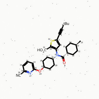 CC(C)(C)C#Cc1cc(N(C(=O)[C@H]2CC[C@H](C)CC2)[C@H]2CC[C@H](Oc3cccc(C#N)n3)CC2)c(C(=O)O)s1